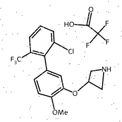 COc1ccc(-c2c(Cl)cccc2C(F)(F)F)cc1OC1CNC1.O=C(O)C(F)(F)F